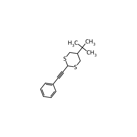 CC(C)(C)C1CSC(C#Cc2ccccc2)SC1